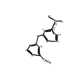 COc1cccc(Cc2cc[c]c(N(C)C)c2)c1